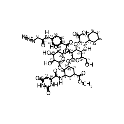 COC(=O)C1CC(NC(=O)c2cc(=O)[nH]c(=O)[nH]2)C(O[C@@H]2OC(C)[C@@H](O)C(O)C2O)[C@H](O[C@@H]2OC(CO)[C@H](O)C(O[C@@H](CC3CCCCC3)C(=O)O)C2OC(=O)c2ccc(NC(=O)CN=[N+]=[N-])cc2)C1